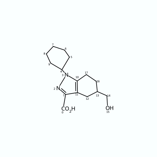 O=C(O)c1nn(C2CCCCC2)c2c1CC(CO)CC2